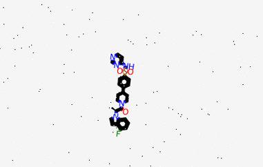 C[C@@H](C(=O)N1CCC(c2ccc(S(=O)(=O)Nc3ccncn3)cc2)CC1)n1ccc2c(F)cccc21